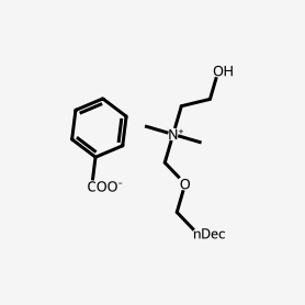 CCCCCCCCCCCOC[N+](C)(C)CCO.O=C([O-])c1ccccc1